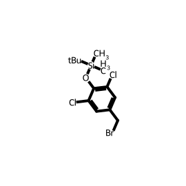 CC(C)(C)[Si](C)(C)Oc1c(Cl)cc(CBr)cc1Cl